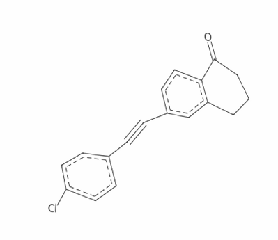 O=C1CCCc2cc(C#Cc3ccc(Cl)cc3)ccc21